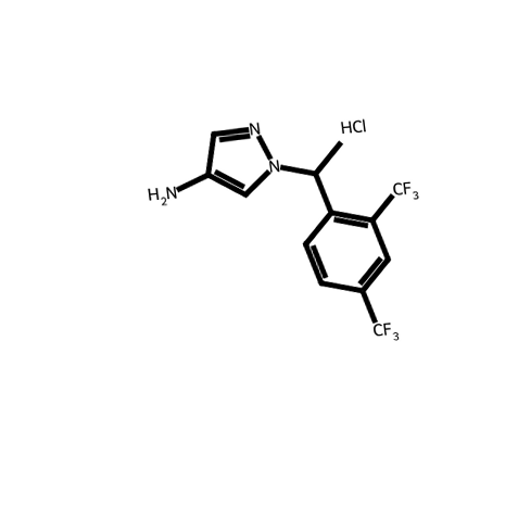 CC(c1ccc(C(F)(F)F)cc1C(F)(F)F)n1cc(N)cn1.Cl